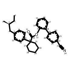 CC[C@H](C)Cc1ccc(C2(C(=O)Oc3ccccc3-c3ccc(C#N)cc3)CCCCC2)cc1